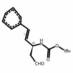 CC(C)(C)OC(=O)N[C@H](/C=C/c1ccccc1)CC=O